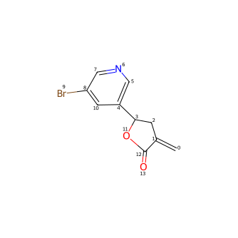 C=C1CC(c2cncc(Br)c2)OC1=O